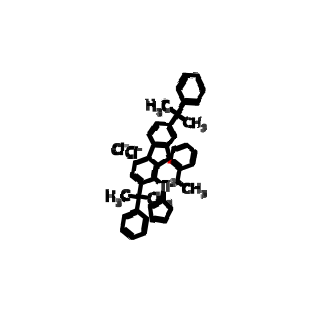 C/[C](c1ccccc1)=[Ti+2](\[C]1=CC=CC1)[c]1c(C(C)(C)c2ccccc2)ccc2c1Cc1cc(C(C)(C)c3ccccc3)ccc1-2.[Cl-].[Cl-]